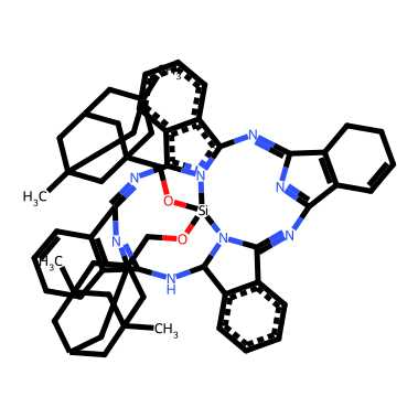 CC12CC3CC(C)(C1)CC(CO[Si]1(OCC45CC6CC(C)(CC(C)(C6)C4)C5)N4/C5=N\C6=NC(=N\c7c8ccccc8c(n71)/N=C1\N=C(NC4c4ccccc45)C4=C1C=CCC4)/C1=C6C=CCC1)(C3)C2